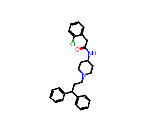 O=C(Cc1ccccc1Cl)NC1CCN(CCC(c2ccccc2)c2ccccc2)CC1